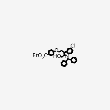 CCOC(=O)c1ccc(OCCc2c(CO)n(C(c3ccccc3)c3ccccc3)c3ccc(Cl)cc23)cc1